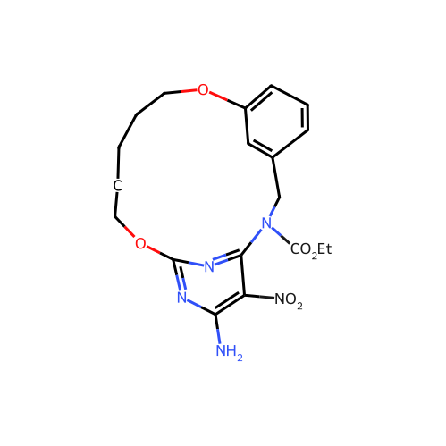 CCOC(=O)N1Cc2cccc(c2)OCCCCCOc2nc(N)c([N+](=O)[O-])c1n2